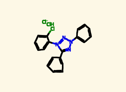 Cl.Clc1ccccc1-[n+]1nn(-c2ccccc2)nc1-c1ccccc1.[Cl-]